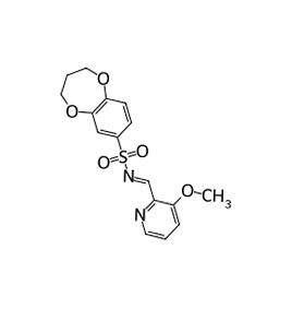 COc1cccnc1/C=N/S(=O)(=O)c1ccc2c(c1)OCCCO2